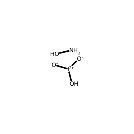 NO.[O-][I+2]([O-])O